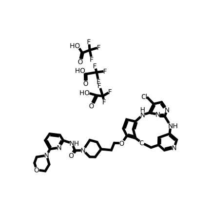 O=C(Nc1cccc(N2CCOCC2)n1)N1CCC(CCOc2ccc3cc2CCc2cncc(c2)Nc2ncc(Cl)c(n2)N3)CC1.O=C(O)C(F)(F)F.O=C(O)C(F)(F)F.O=C(O)C(F)(F)F